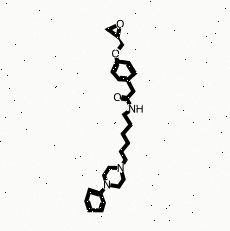 O=C(Cc1ccc(OC[C@H]2CO2)cc1)NCCCCCCN1CCN(c2ccccc2)CC1